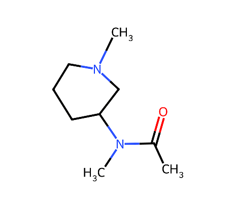 CC(=O)N(C)C1CCCN(C)C1